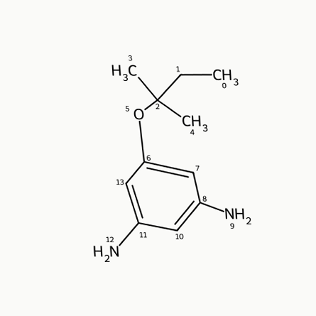 CCC(C)(C)Oc1cc(N)cc(N)c1